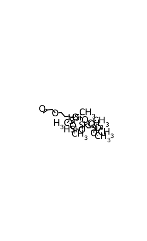 CO[Si](C[Si]1(C)O[SiH](C)O[Si](C)(CCCOCC2CO2)O[SiH](C)O1)(OC)OC